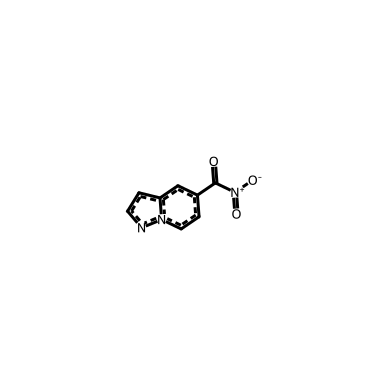 O=C(c1ccn2nccc2c1)[N+](=O)[O-]